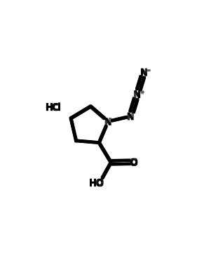 Cl.[N-]=[N+]=NN1CCCC1C(=O)O